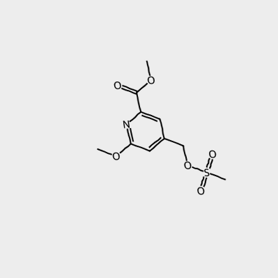 COC(=O)c1cc(COS(C)(=O)=O)cc(OC)n1